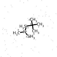 CN([SiH3])[SiH2]C(C)(C)C